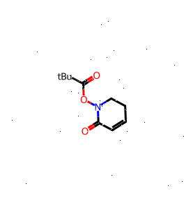 CC(C)(C)C(=O)ON1CCC=CC1=O